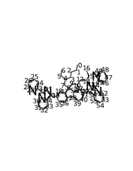 CCCCC(CC)CC1(CC(CC)CCCC)c2cc(-c3nc(-c4ccccn4)n4ccccc34)ccc2-c2ccc(-c3nc(-c4ccccn4)n4ccccc34)cc21